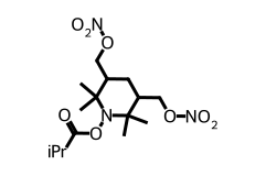 CC(C)C(=O)ON1C(C)(C)C(CO[N+](=O)[O-])CC(CO[N+](=O)[O-])C1(C)C